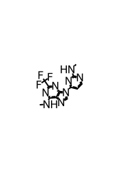 CNc1nccc(-n2cnc3c(NC)nc(C(F)(F)F)nc32)n1